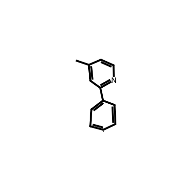 Cc1ccnc(-c2cc[c]cc2)c1